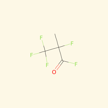 CC(F)(C(=O)F)C(F)(F)F